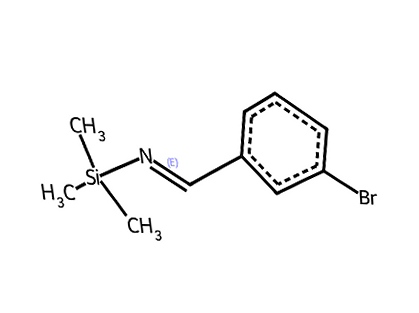 C[Si](C)(C)/N=C/c1cccc(Br)c1